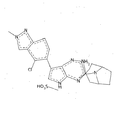 CS(=O)(=O)O.Cn1cc2c(Cl)c(-c3c[nH]c4nc(N5C6CCC5CC(C)(N)C6)cnc34)ccc2n1